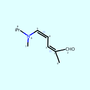 C/C(C=O)=C/C=C\N(C)C(C)C